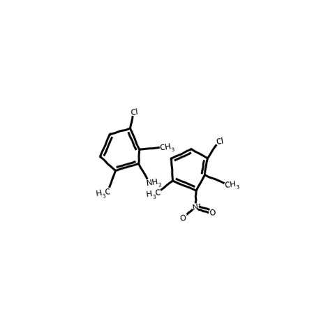 Cc1ccc(Cl)c(C)c1N.Cc1ccc(Cl)c(C)c1[N+](=O)[O-]